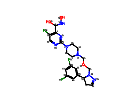 ONC(O)c1nc(N2CCN(COCN3N=CC[C@H]3c3cc(F)cc(F)c3)CC2)ncc1F